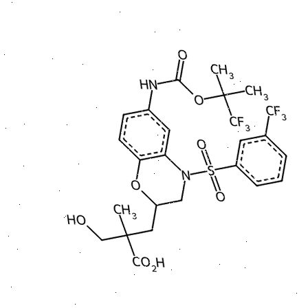 CC(CO)(CC1CN(S(=O)(=O)c2cccc(C(F)(F)F)c2)c2cc(NC(=O)OC(C)(C)C(F)(F)F)ccc2O1)C(=O)O